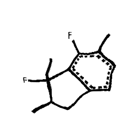 Cc1ccc2c(c1F)C(C)(F)C(C)C2